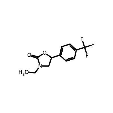 CCN1CC(c2ccc(C(F)(F)F)cc2)OC1=O